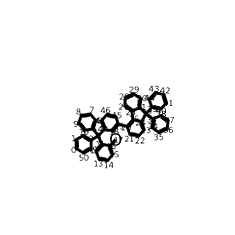 c1ccc(C2(c3ccccc3)c3ccccc3Oc3c(-c4cccc5c4-c4ccccc4C5(c4ccccc4)c4ccccc4)cccc32)cc1